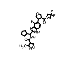 Cc1nocc1C(=O)NC(c1nc2c(F)c(C3COCC3C(=O)N3CC(F)(F)C3)ccc2[nH]1)C1CCCC1